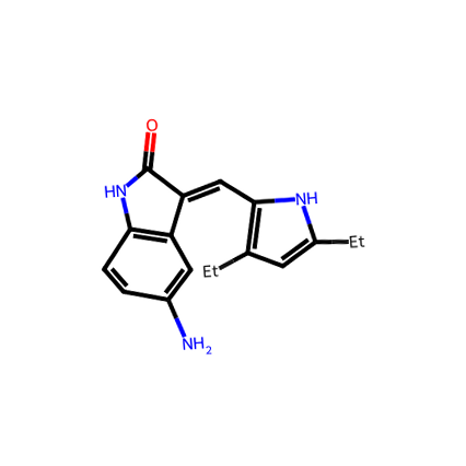 CCc1cc(CC)c(C=C2C(=O)Nc3ccc(N)cc32)[nH]1